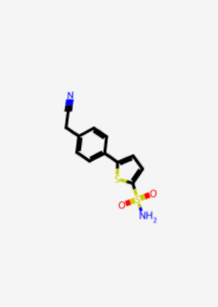 N#CCc1ccc(-c2ccc(S(N)(=O)=O)s2)cc1